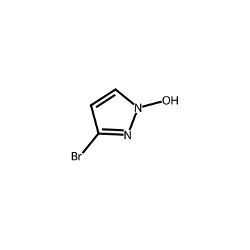 On1ccc(Br)n1